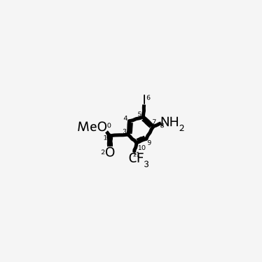 COC(=O)c1cc(I)c(N)cc1C(F)(F)F